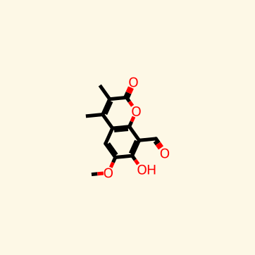 COc1cc2c(C)c(C)c(=O)oc2c(C=O)c1O